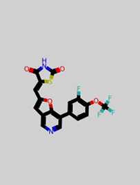 O=C1NC(=O)C(=Cc2cc3cncc(-c4ccc(OC(F)(F)F)c(F)c4)c3o2)S1